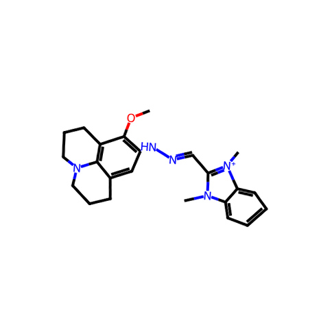 COc1c(N/N=C/c2n(C)c3ccccc3[n+]2C)cc2c3c1CCCN3CCC2